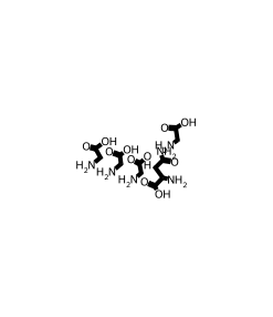 NC(=O)CC(N)C(=O)O.NCC(=O)O.NCC(=O)O.NCC(=O)O.NCC(=O)O